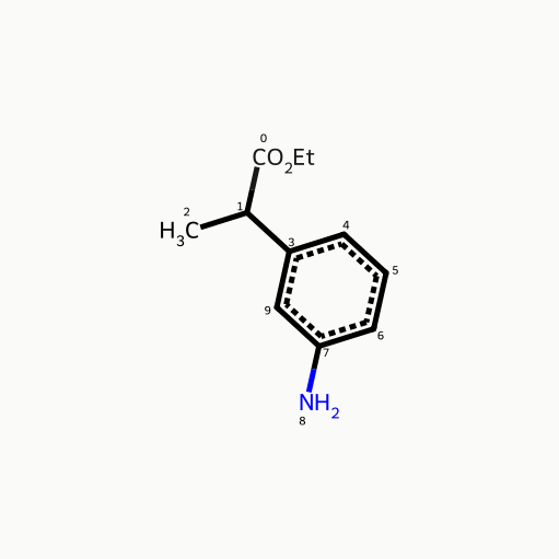 CCOC(=O)C(C)c1cccc(N)c1